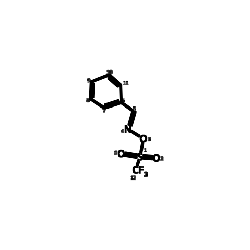 O=S(=O)(O/N=C/c1ccccc1)C(F)(F)F